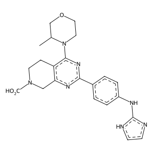 CC1COCCN1c1nc(-c2ccc(Nc3ncc[nH]3)cc2)nc2c1CCN(C(=O)O)C2